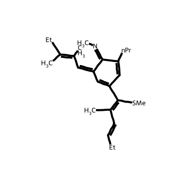 CC/C=C/C(C)=C(\SC)C1=CC(=C/C(C)=C(\C)CC)/C(=N\C)C(CCC)=C1